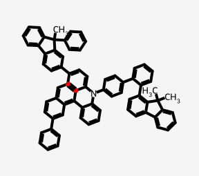 CC1(C)c2ccccc2-c2cccc(-c3ccccc3-c3ccc(N(c4ccc(-c5ccc6c(c5)C(C)(c5ccccc5)c5ccccc5-6)cc4)c4ccccc4-c4cccc5ccc(-c6ccccc6)cc45)cc3)c21